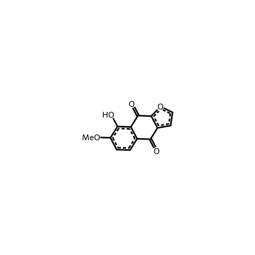 COc1ccc2c(c1O)C(=O)c1occc1C2=O